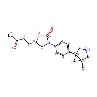 CC(=O)NC[C@H]1CN(c2ccc([C@@]34CNC[C@@H]3C4)cc2)C(=O)O1